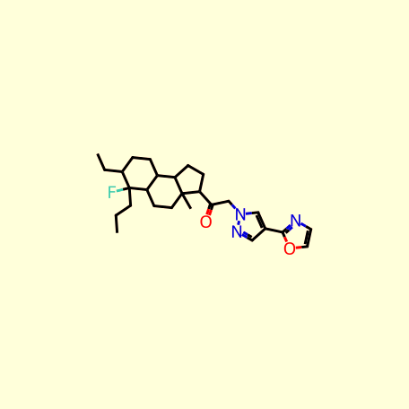 CCCC1(F)C(CC)CCC2C3CCC(C(=O)Cn4cc(-c5ncco5)cn4)C3(C)CCC21